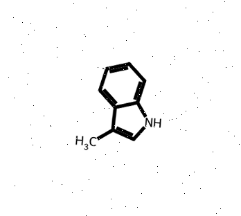 Cc1c[nH]c2cc[c]cc12